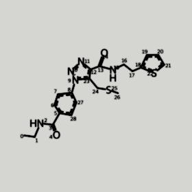 CCNC(=O)c1ccc(-n2nnc(C(=O)NCCc3cccs3)c2CSC)cc1